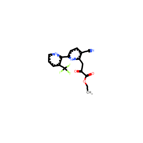 CCOC(=O)C(=O)Cc1nc(-c2ncccc2C(F)(F)F)ccc1C#N